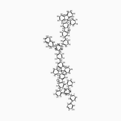 c1ccc(-c2cccc(-c3nc(-c4ccccc4)nc(-c4ccccc4-c4ccc5c(c4)oc4cc(C6(c7ccccc7)c7ccccc7-c7cc(-c8ccc(-c9nc(-c%10cccc(-c%11ccc%12c(c%11)oc%11cc(C%13(c%14ccccc%14)c%14ccccc%14-c%14ccccc%14%13)ccc%11%12)c%10)nc(-c%10ccc%11ccccc%11c%10)n9)cc8)ccc76)ccc45)n3)c2)cc1